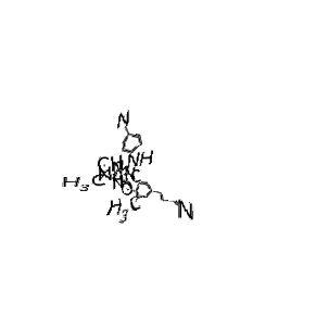 Cc1cc(C=CC#N)cc(C)c1Oc1nc(Nc2ccc(C#N)cc2)nc(N(C)C)n1